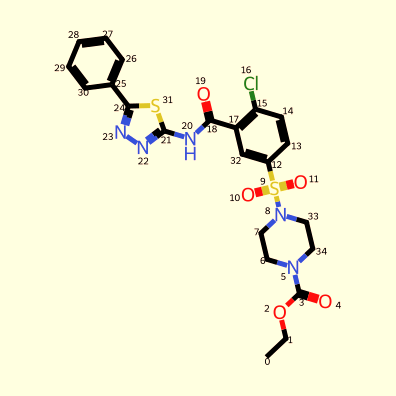 CCOC(=O)N1CCN(S(=O)(=O)c2ccc(Cl)c(C(=O)Nc3nnc(-c4ccccc4)s3)c2)CC1